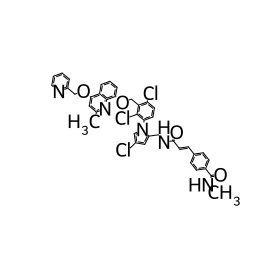 CNC(=O)c1ccc(C=CC(=O)NCc2cc(Cl)cn2-c2ccc(Cl)c(COc3cccc4c(OCc5ccccn5)cc(C)nc34)c2Cl)cc1